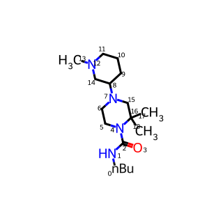 CCCCNC(=O)N1CCN(C2CCCN(C)C2)CC1(C)C